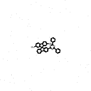 CC(C)(C)c1ccc2c(c1)C1(c3ccccc3-c3ccc(-c4nc(-c5ccccc5)nc(-c5ccccc5)n4)cc31)c1cc(C(C)(C)C)ccc1-2